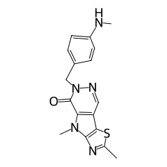 CNc1ccc(Cn2ncc3c4sc(C)nc4n(C)c3c2=O)cc1